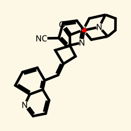 N#Cc1ccc(N2C3CCC2CN(C(=O)C2CC(=Cc4cccc5ncccc45)C2)C3)nc1